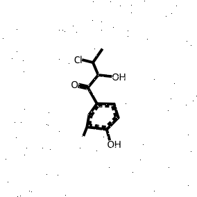 Cc1cc(C(=O)C(O)C(C)Cl)ccc1O